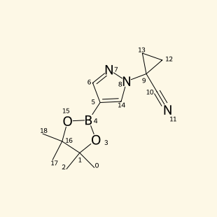 CC1(C)OB(c2cnn(C3(C#N)CC3)c2)OC1(C)C